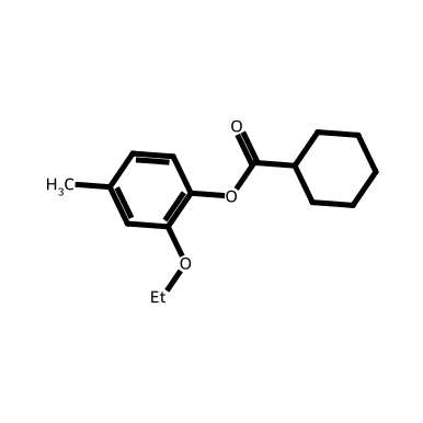 CCOc1cc(C)ccc1OC(=O)C1CCCCC1